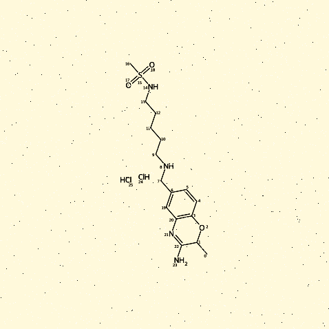 CC1Oc2ccc(CNCCCCCNS(C)(=O)=O)cc2N=C1N.Cl.Cl